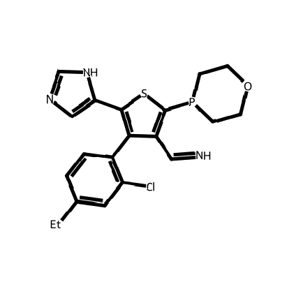 CCc1ccc(-c2c(-c3cnc[nH]3)sc(P3CCOCC3)c2C=N)c(Cl)c1